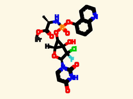 CC(C)OC(=O)[C@H](C)NP(=O)(Oc1cccc2ncccc12)OC1[C@H]2O[C@H](n3ccc(=O)[nH]c3=O)[C@@](F)(Cl)[C@@]12O